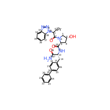 CC(C)C(C(=O)N1C[C@H](O)C[C@H]1C(=O)N[C@H](Cc1ccc(-c2ccccc2)cc1)C(N)=O)n1nnc2ccccc21